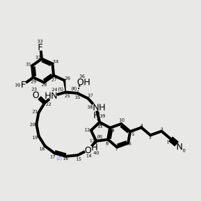 N#CCCCc1ccc2c(c1)[C@@H]1C[C@H]2OC/C=C\CCCCC(=O)N[C@@H](Cc2cc(F)cc(F)c2)[C@H](O)CN1